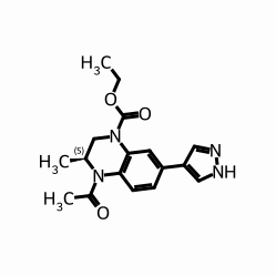 CCOC(=O)N1C[C@H](C)N(C(C)=O)c2ccc(-c3cn[nH]c3)cc21